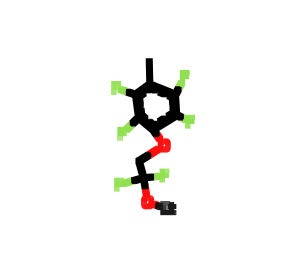 CCOC(F)(F)COc1c(F)c(F)c(C)c(F)c1F